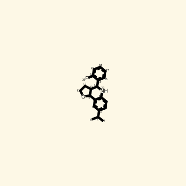 CC(C)c1ccc2c(c1)C1OCCC1C(c1ccccc1F)N2